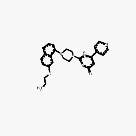 CCCOc1ccc2cccc(N3CCN(c4nc(=O)cc(-c5ccncc5)[nH]4)CC3)c2c1